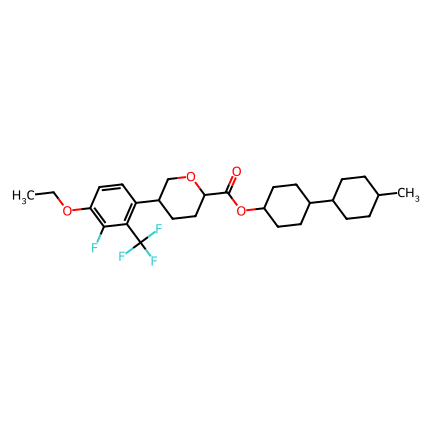 CCOc1ccc(C2CCC(C(=O)OC3CCC(C4CCC(C)CC4)CC3)OC2)c(C(F)(F)F)c1F